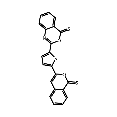 S=c1oc(-c2ccc(-c3nc4ccccc4c(=S)o3)s2)cc2ccccc12